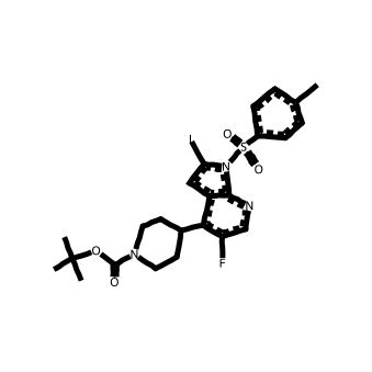 Cc1ccc(S(=O)(=O)n2c(I)cc3c(C4CCN(C(=O)OC(C)(C)C)CC4)c(F)cnc32)cc1